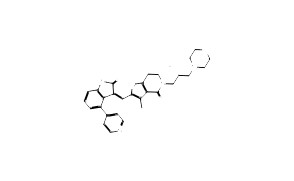 Cc1c(/C=C2\C(=O)Nc3cccc(-c4ccncc4)c32)[nH]c2c1C(=O)N(C[C@H](O)CN1CCOCC1)CC2